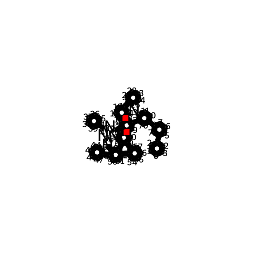 c1ccc(-c2cccc(-c3ccc(-n4c5ccccc5c5ccccc54)c(-c4ccc(-c5nc(-c6ccccc6)nc(-n6c7ccccc7c7ccc8c9ccccc9c9ccccc9c8c76)n5)cc4)c3)c2)cc1